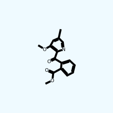 COC(=O)c1ccccc1C(=O)c1ncc(C)cc1OC